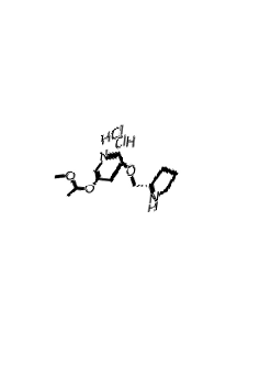 COC(C)Oc1cncc(OC[C@@H]2CCCN2)c1.Cl.Cl